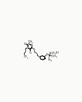 CCOC(=O)C(C)(C)Oc1cccc(CCCOc2nn(C)c(=O)n(CCCC(F)(F)F)c2=O)c1